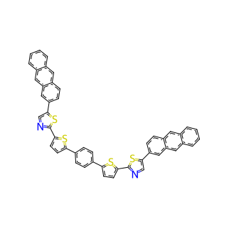 c1ccc2cc3cc(-c4cnc(-c5ccc(-c6ccc(-c7ccc(-c8ncc(-c9ccc%10cc%11ccccc%11cc%10c9)s8)s7)cc6)s5)s4)ccc3cc2c1